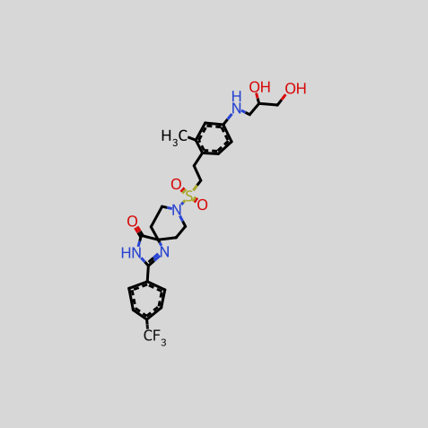 Cc1cc(NCC(O)CO)ccc1CCS(=O)(=O)N1CCC2(CC1)N=C(c1ccc(C(F)(F)F)cc1)NC2=O